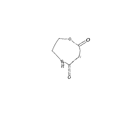 O=C1[C]C(=O)OCCN1